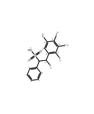 O=S(=O)(O)C(c1ccccc1)C(F)c1cc(F)c(F)c(F)c1F